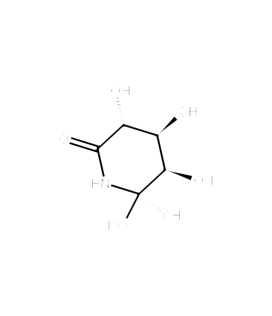 C[C@]1(O)NC(=O)[C@H](O)[C@@H](O)[C@H]1O